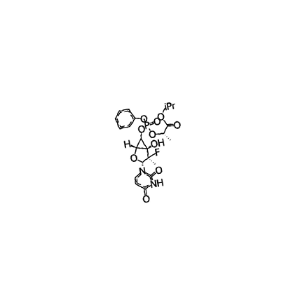 CC(C)OC(=O)[C@H](C)OP(=O)(Oc1ccccc1)OC1[C@H]2O[C@@H](n3ccc(=O)[nH]c3=O)[C@](C)(F)[C@@]12O